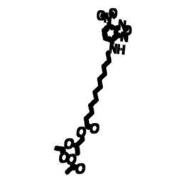 CC(=O)OCC(COC(=O)CCCCCCCCCCCNc1ccc([N+](=O)[O-])c2nonc12)OC(C)=O